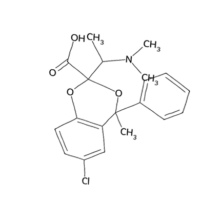 CC(N(C)C)C1(C(=O)O)Oc2ccc(Cl)cc2C(C)(c2ccccc2)O1